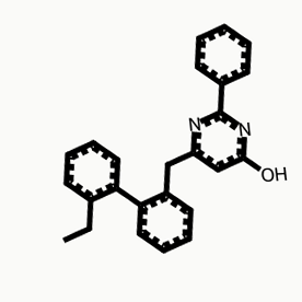 CCc1ccccc1-c1ccccc1Cc1cc(O)nc(-c2ccccc2)n1